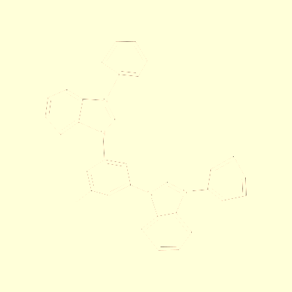 Cc1cc(-n2c[n+](-c3ccccc3)c3ccccc32)cc(-n2c[n+](-c3ccccc3)c3ccccc32)c1